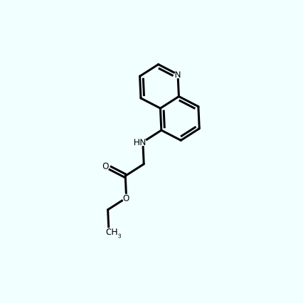 CCOC(=O)CNc1cccc2ncccc12